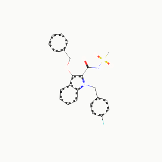 CS(=O)(=O)NC(=O)c1c(OCc2ccccc2)c2ccccc2n1Cc1ccc(F)cc1